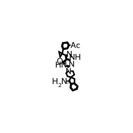 CC(=O)c1cccc(C2(c3n[nH]c4nc(N5CCC6(CC5)Cc5ccccc5[C@H]6N)[nH]c(=O)c34)CC2)c1